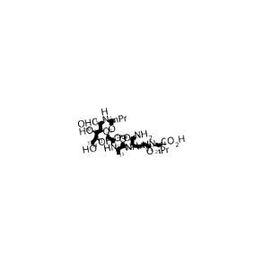 CCCC(=O)N[C@@H](C=O)[C@@H](OCC(=O)NC(C)C(=O)NC(CCC(=O)NC(C(=O)O)C(C)C)C(N)=O)[C@H](O)[C@H](O)CO